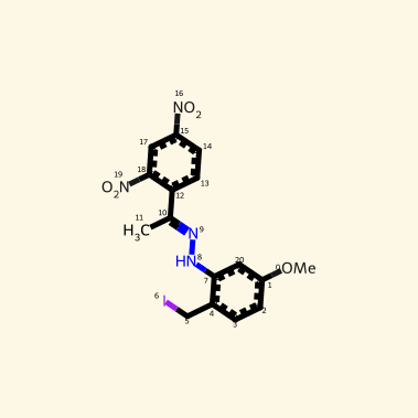 COc1ccc(CI)c(N/N=C(\C)c2ccc([N+](=O)[O-])cc2[N+](=O)[O-])c1